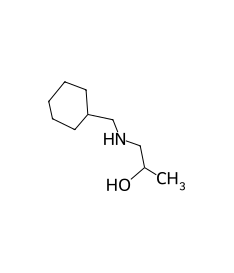 CC(O)CNCC1CCCCC1